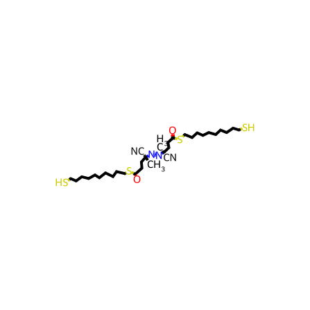 CC(C#N)(CCC(=O)SCCCCCCCCCCS)/N=N/C(C)(C#N)CCC(=O)SCCCCCCCCCCS